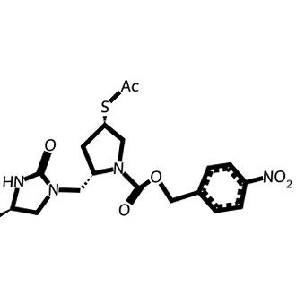 CC(=O)S[C@H]1C[C@@H](CN2C[C@@H](C)NC2=O)N(C(=O)OCc2ccc([N+](=O)[O-])cc2)C1